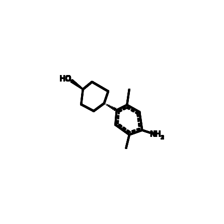 Cc1cc([C@H]2CC[C@H](O)CC2)c(C)cc1N